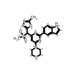 Cc1nnc(C(c2cc(N3CCOCC3)nc(-c3ccc4[nH]ccc4c3)n2)S(C)(=O)=O)o1